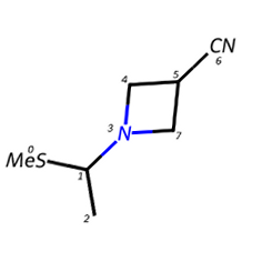 CSC(C)N1CC(C#N)C1